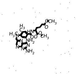 COC(=O)CCCC(NC(=O)c1ccc(N(C)Cc2cnc3nc(N)nc(N)c3n2)c(C)c1)C(=O)OC